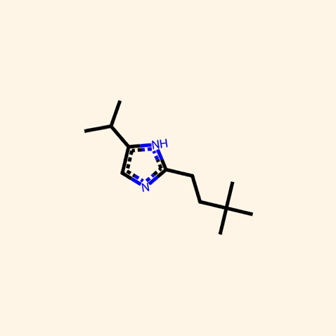 CC(C)c1cnc(CCC(C)(C)C)[nH]1